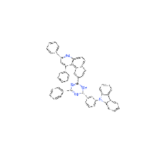 c1ccc(C2=NC(c3cccc(-n4c5ccccc5c5ccccc54)c3)NC(c3ccc4ccc5nc(-c6ccccc6)cc(-c6ccccc6)c5c4c3)=N2)cc1